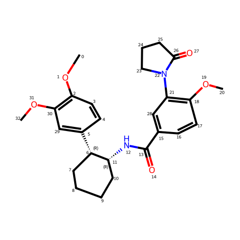 COc1ccc([C@H]2CCCC[C@H]2NC(=O)c2ccc(OC)c(N3CCCC3=O)c2)cc1OC